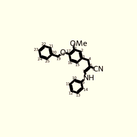 COc1cc(CC(C#N)=CNc2ccccc2)ccc1OCc1ccccc1